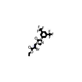 CCOC(=O)/C(Br)=C/n1cnn(-c2cc(C(F)(F)F)cc(C(F)(F)F)c2)c1=O